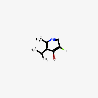 Cc1ncc(F)c(Br)c1C(C)C